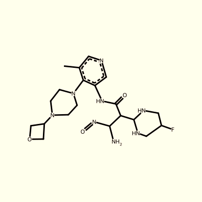 Cc1cncc(NC(=O)C(C(N)N=O)C2NCC(F)CN2)c1N1CCN(C2COC2)CC1